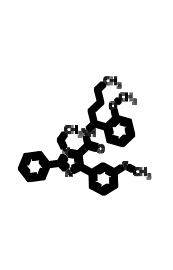 CCCCC(NC(=O)c1c(-c2cccc(SC)c2)nc(-c2ccccc2)n1CC)c1ccccc1OC